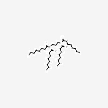 CCCCCCCC(=O)P(CCCP(C(=O)CCCCCCC)C(=O)CCCCCCC)C(=O)CCCCCCC